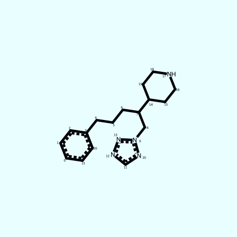 c1ccc(CCCC(Cn2ncnn2)C2CCNCC2)cc1